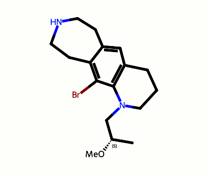 CO[C@@H](C)CN1CCCc2cc3c(c(Br)c21)CCNCC3